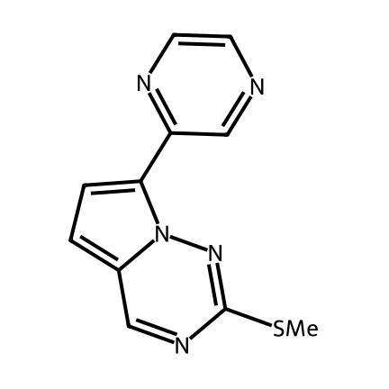 CSc1ncc2ccc(-c3cnccn3)n2n1